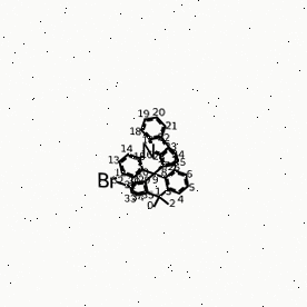 CC1(C)c2ccccc2C2(c3ccccc3-n3c4ccccc4c4cccc2c43)c2cc(Br)ccc21